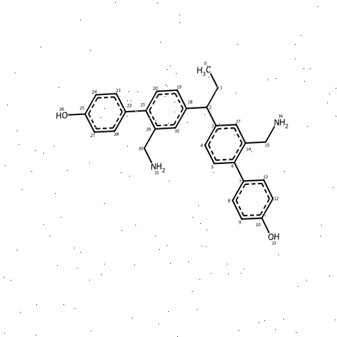 CCC(c1ccc(-c2ccc(O)cc2)c(CN)c1)c1ccc(-c2ccc(O)cc2)c(CN)c1